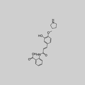 C1CCNC1.COc1ccc(C=CC(=O)Nc2ccccc2C(=O)O)cc1O